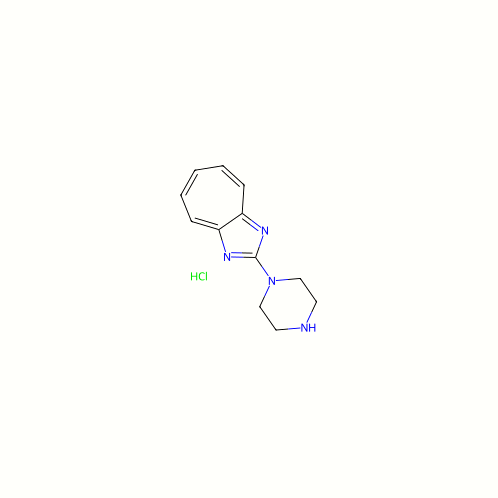 Cl.c1ccc2nc(N3CCNCC3)nc-2cc1